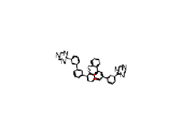 c1cc(-c2cccc(-c3ccccc3Sc3ccccc3-c3cccc(-c4cccc(-c5ncncn5)c4)c3)c2)cc(-c2ncncn2)c1